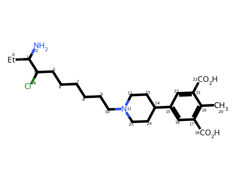 CCC(N)C(Cl)CCCCCCN1CCC(c2cc(C(=O)O)c(C)c(C(=O)O)c2)CC1